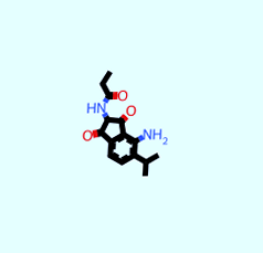 CCC(=O)NC1C(=O)c2ccc([C](C)C)c(N)c2C1=O